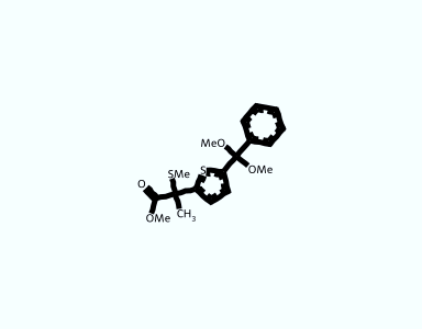 COC(=O)C(C)(SC)c1ccc(C(OC)(OC)c2ccccc2)s1